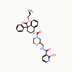 C=CCOC(=O)C1(c2ccccc2)CC[C@@H](C(=O)N2CCOC(CNC(=O)c3cccnc3O)C2)c2ccccc21